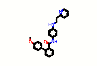 COc1ccc(-c2ccccc2C(=O)Nc2ccc(NCCc3ccccn3)cc2)cc1